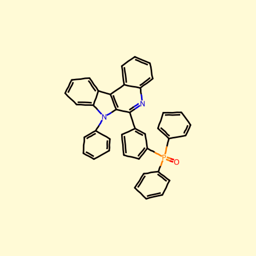 O=P(c1ccccc1)(c1ccccc1)c1cccc(-c2nc3ccccc3c3c4ccccc4n(-c4ccccc4)c23)c1